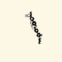 C=CCCOc1ccc(C2=CCC(C(=O)Oc3ccc(C4CCC(C(O)CCC)CC4)c(F)c3F)C=C2)cc1F